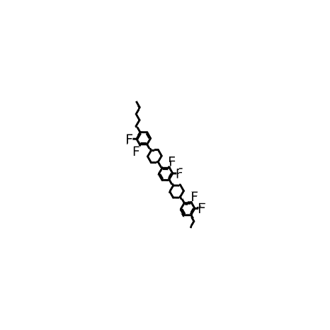 CCCCCc1ccc(C2CCC(c3ccc(C4CCC(c5ccc(CC)c(F)c5F)CC4)c(F)c3F)CC2)c(F)c1F